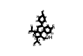 Cc1ccc(/C=C/c2c(C(C)C)nc(C(C)C)c(CO)c2-c2ccc(F)cc2)cc1